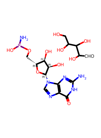 Nc1nc2c(ncn2[C@@H]2O[C@H](COP(N)O)[C@@H](O)[C@H]2O)c(=O)[nH]1.O=CC(O)C(O)C(O)CO